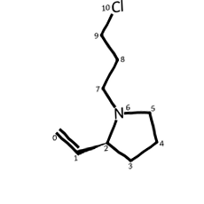 C=C[C@@H]1CCCN1CCCCl